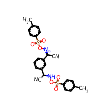 Cc1ccc(S(=O)(=O)O/N=C(/C#N)c2cccc(C(C#N)NOS(=O)(=O)c3ccc(C)cc3)c2)cc1